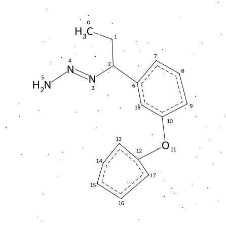 CCC(N=NN)c1cccc(Oc2ccccc2)c1